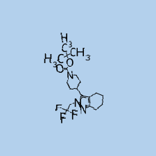 CC(C)(C)OC(=O)N1CCC(c2c3c(nn2CC(F)(F)F)CCCC3)CC1